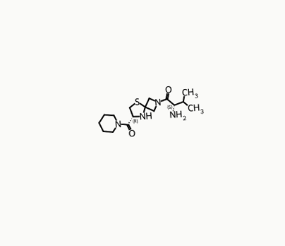 CC(C)[C@H](N)C(=O)N1CC2(C1)N[C@H](C(=O)N1CCCCC1)CS2